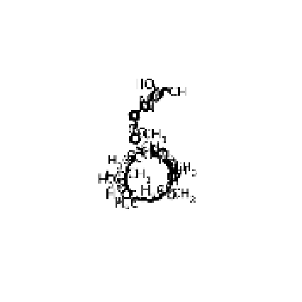 C#CCN1CCN(c2ncc(-c3cccc(CO[C@@H]4CC[C@@H](C[C@@H](C)[C@@H]5CC(=O)[C@H](C)/C=C(\C)[C@@H](O)[C@@H](OC)C(=O)[C@H](C)C[C@H](C)/C=C/C=C/C=C(\C)[C@@H](OC)C[C@@H]6CC[C@@H](C)[C@@](O)(O6)C(=O)C(=O)N6CCCC[C@H]6C(=O)O5)C[C@H]4OC)c3)cn2)CC1CO